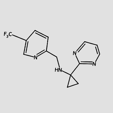 FC(F)(F)c1ccc(CNC2(c3ncccn3)CC2)nc1